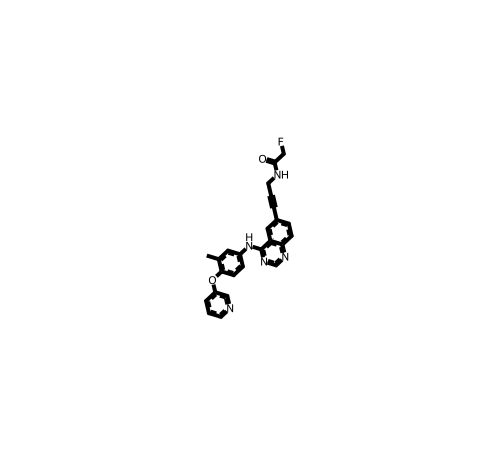 Cc1cc(Nc2ncnc3ccc(C#CCNC(=O)CF)cc23)ccc1Oc1cccnc1